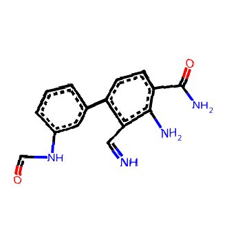 N=Cc1c(-c2cccc(NC=O)c2)ccc(C(N)=O)c1N